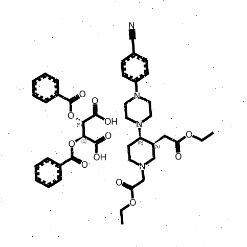 CCOC(=O)C[C@H]1CN(CC(=O)OCC)CC[C@H]1N1CCN(c2ccc(C#N)cc2)CC1.O=C(O[C@H](C(=O)O)[C@H](OC(=O)c1ccccc1)C(=O)O)c1ccccc1